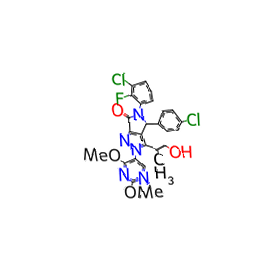 COc1ncc(-n2nc3c(c2C(C)CO)C(c2ccc(Cl)cc2)N(c2cccc(Cl)c2F)C3=O)c(OC)n1